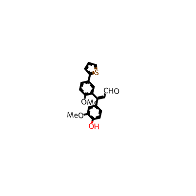 COc1cc(C(=CC=O)c2cc(-c3cccs3)ccc2OC)ccc1O